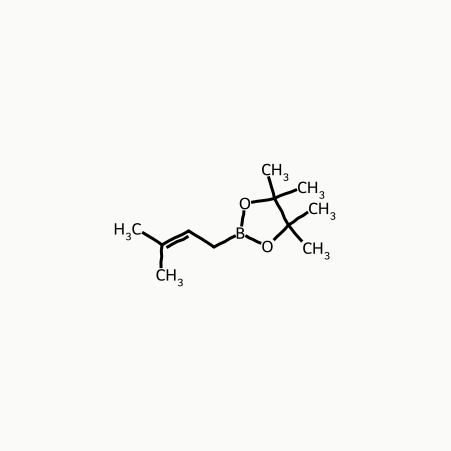 CC(C)=CCB1OC(C)(C)C(C)(C)O1